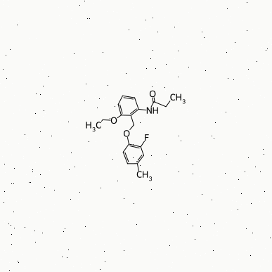 CCOc1cccc(NC(=O)CC)c1COc1ccc(C)cc1F